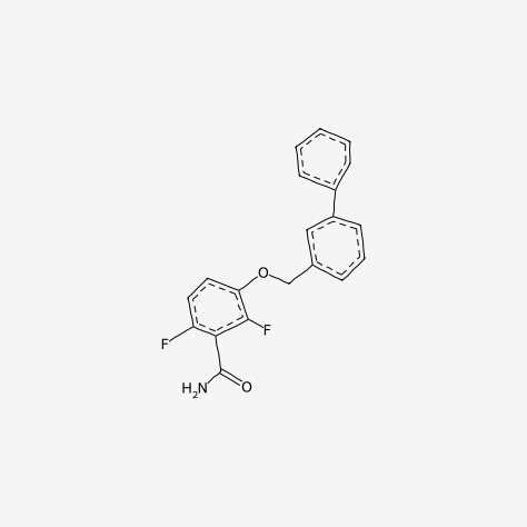 NC(=O)c1c(F)ccc(OCc2cccc(-c3ccccc3)c2)c1F